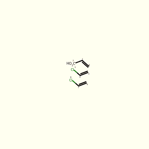 C=CC(=O)O.C=CCl.C=CCl